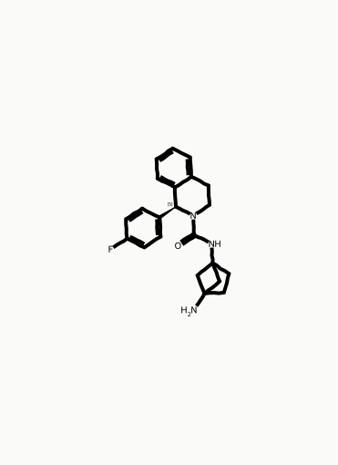 NC12CCC(NC(=O)N3CCc4ccccc4[C@@H]3c3ccc(F)cc3)(C1)C2